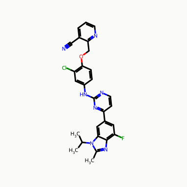 Cc1nc2c(F)cc(-c3ccnc(Nc4ccc(OCc5ncccc5C#N)c(Cl)c4)n3)cc2n1C(C)C